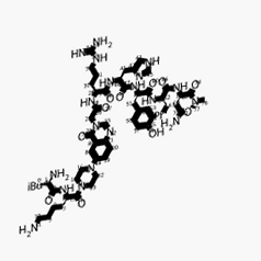 CC[C@H](C)[C@H](N)C(=O)N[C@@H](CCCCN)C(=O)N1CCN(c2ccc3ncn(CC(=O)N[C@@H](CCCNC(=N)N)C(=O)N[C@@H](Cc4c[nH]cn4)C(=O)N[C@@H](Cc4ccc(O)cc4)C(=O)N[C@@H](CC(C)C)C(=O)N[C@@H](CC(N)=O)C(=O)N(C)C)c(=O)c3c2)CC1